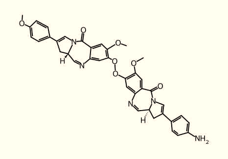 COc1ccc(C2=CN3C(=O)c4cc(OC)c(OOc5cc6c(cc5OC)C(=O)N5C=C(c7ccc(N)cc7)C[C@H]5C=N6)cc4N=C[C@@H]3C2)cc1